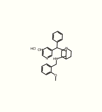 COc1ccccc1CNC1C2CCN(CC2)C1C(c1ccccc1)c1cccnc1.Cl.Cl